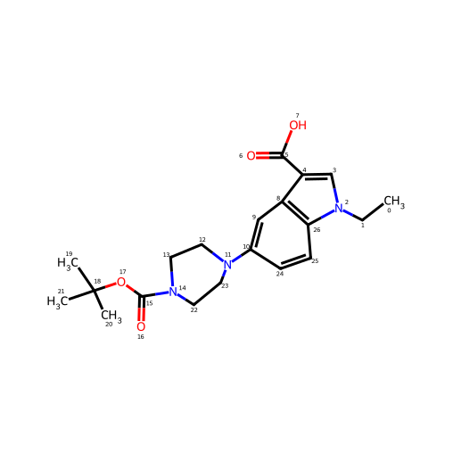 CCn1cc(C(=O)O)c2cc(N3CCN(C(=O)OC(C)(C)C)CC3)ccc21